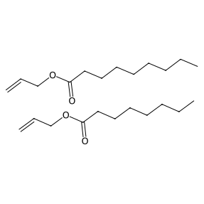 C=CCOC(=O)CCCCCCC.C=CCOC(=O)CCCCCCCC